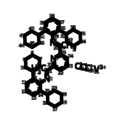 CC(=Nc1c(C2CCCCC2)cccc1C1CCCCC1)c1cccc(C(C)=Nc2c(C3CCCCC3)cccc2C2CCCCC2)n1.[Cl-].[Cl-].[Cl-].[V+3]